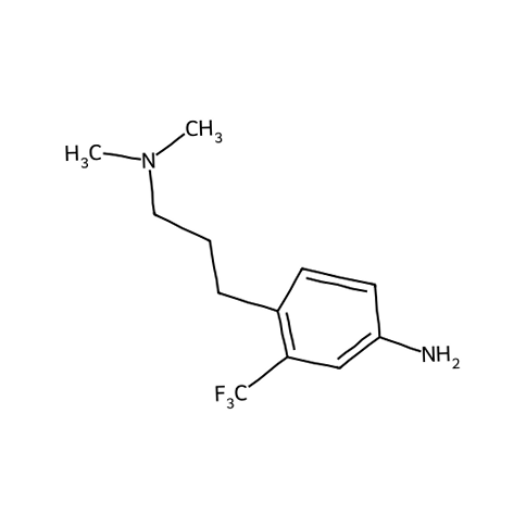 CN(C)CCCc1ccc(N)cc1C(F)(F)F